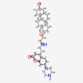 CN1CCN(c2ccc3c(CCNCCOC4CCC5C6CCC7CC(=O)CCC7(C)C6CCC45C)cc(=O)oc3c2)CC1